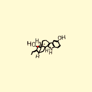 C/C=C1/C[N+]2(C)C3Cc4c([nH]c5ccc(O)cc45)[C@@H]2C[C@H]1[C@H]3CO